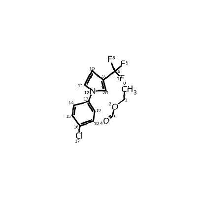 CCOC=O.FC(F)(F)c1ccn(-c2ccc(Cl)cc2)c1